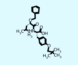 CC(C)C[C@H](OCc1ccccc1)C(=O)N[C@@H](Cc1ccc(OCC(C)(C)C)cc1)C(=O)O